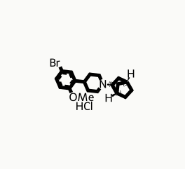 COc1ccc(Br)cc1C1CCN([C@@H]2C[C@H]3CC[C@H]2C3)CC1.Cl